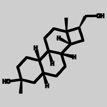 C[C@@]1(O)CC[C@H]2[C@H](CC[C@@H]3[C@@H]2CC[C@]2(C)[C@H](CO)C[C@@H]32)C1